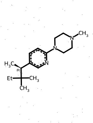 CCC(C)(C)[C@@H](C)c1ccc(N2CCN(C)CC2)nc1